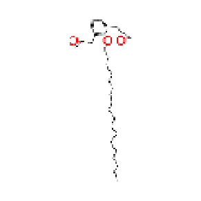 CCCCCCCCCCCCCCCCCCOc1c(CC2CO2)cccc1CC1CO1